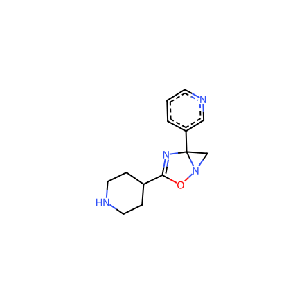 c1cncc(C23CN2OC(C2CCNCC2)=N3)c1